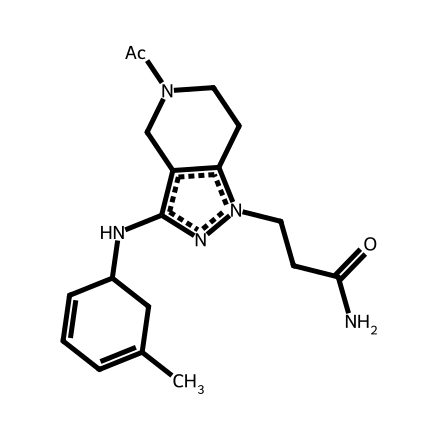 CC(=O)N1CCc2c(c(NC3C=CC=C(C)C3)nn2CCC(N)=O)C1